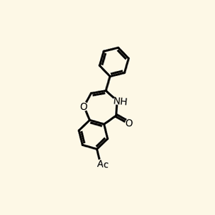 CC(=O)c1ccc2c(c1)C(=O)NC(c1ccccc1)=CO2